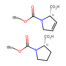 CC(C)(C)OC(=O)N1CC=C[C@H]1C(=O)O.CC(C)(C)OC(=O)N1CCC[C@H]1C(=O)O